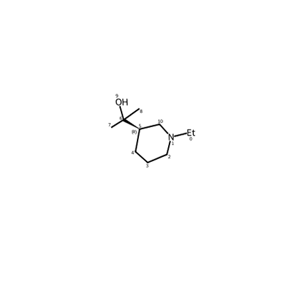 [CH2]CN1CCC[C@@H](C(C)(C)O)C1